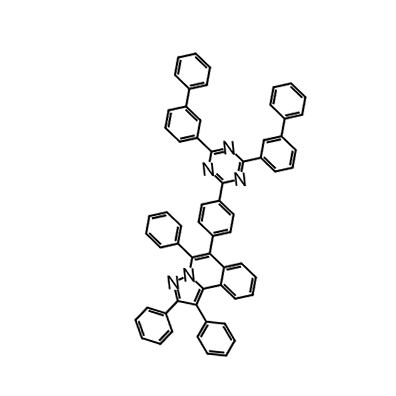 c1ccc(-c2cccc(-c3nc(-c4ccc(-c5c(-c6ccccc6)n6nc(-c7ccccc7)c(-c7ccccc7)c6c6ccccc56)cc4)nc(-c4cccc(-c5ccccc5)c4)n3)c2)cc1